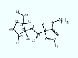 C=C(CN)C(C)(CCC)C(C)CC1(C)C(C)CCC1(C)CC